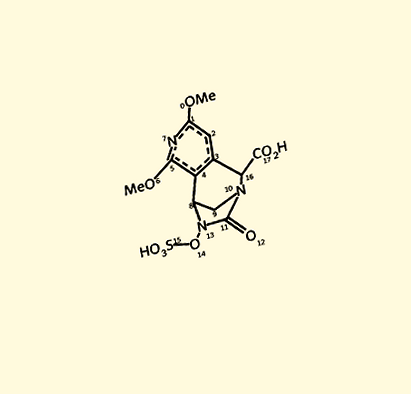 COc1cc2c(c(OC)n1)C1CN(C(=O)N1OS(=O)(=O)O)C2C(=O)O